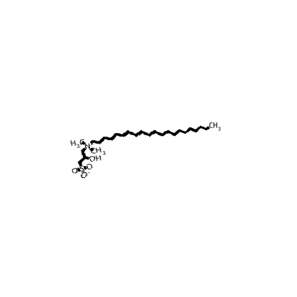 CCCCCCCCCCCCCCCCCCCCC[N+](C)(C)CC(O)CS(=O)(=O)[O-]